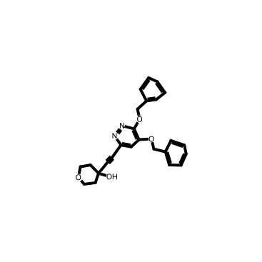 OC1(C#Cc2cc(OCc3ccccc3)c(OCc3ccccc3)nn2)CCOCC1